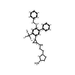 N[C@@H]1CCN(CCNC2CC2c2cc(-c3ccccc3)c(OCc3ccccc3)cc2C(F)(F)F)C1